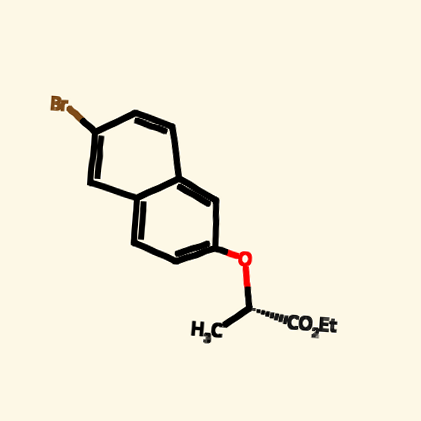 CCOC(=O)[C@H](C)Oc1ccc2cc(Br)ccc2c1